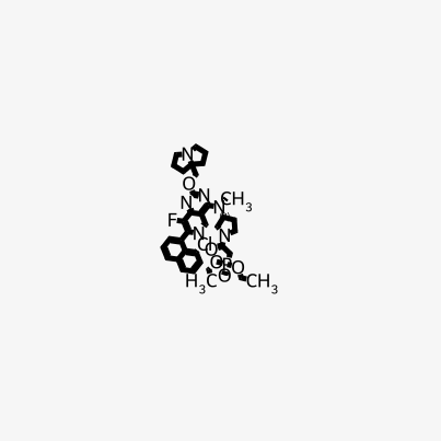 CCOP(=O)(CC(=O)N1CC[C@@H](N(C)c2nc(OCC34CCCN3CCC4)nc3c(F)c(-c4cccc5cccc(Cl)c45)ncc23)C1)OCC